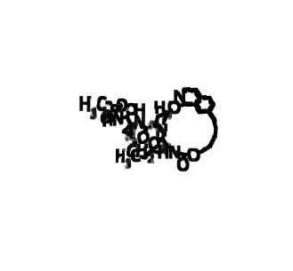 C=C[C@@H]1C[C@]1(NC(=O)[C@@H]1C[C@@H]2CN1C(=O)[C@H](CCCC)NC(=O)OCCCCCc1ccc3ccnc(c3c1)O2)C(=O)NS(=O)(=O)CC